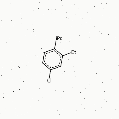 CCc1cc(Cl)ccc1C(C)C